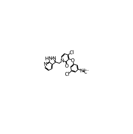 [C-]#[N+]c1cc(Cl)cc(Oc2c(Cl)ccn(Cc3n[nH]c4ncccc34)c2=O)c1